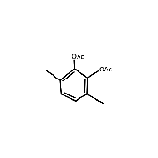 CC(=O)Oc1c(C)ccc(C)c1OC(C)=O